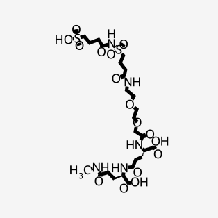 CNC(=O)CC[C@@H](NC(=O)CC[C@H](NC(=O)COCCOCCNC(=O)CCCS(=O)(=O)NC(=O)CCCS(=O)(=O)O)C(=O)O)C(=O)O